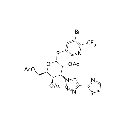 CC(=O)OC[C@H]1O[C@H](Sc2cnc(C(F)(F)F)c(Br)c2)[C@H](OC(C)=O)[C@@H](n2cc(-c3nccs3)nn2)[C@H]1OC(C)=O